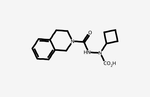 O=C(NN(C(=O)O)C1CCC1)N1CCc2ccccc2C1